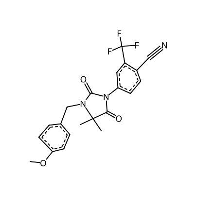 COc1ccc(CN2C(=O)N(c3ccc(C#N)c(C(F)(F)F)c3)C(=O)C2(C)C)cc1